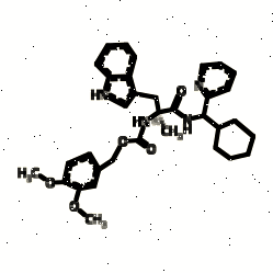 COc1ccc(COC(=O)N[C@@](C)(Cc2c[nH]c3ccccc23)C(=O)NC(c2ccccn2)C2CCCCC2)cc1OC